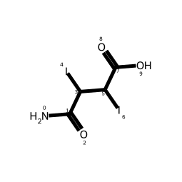 NC(=O)C(I)C(I)C(=O)O